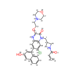 C=CC(=O)N1CC(Cn2c(=O)c(OCCN3CCOCC3)nc3cc(-c4cc(O)cc5ccccc45)c(Cl)cc32)C1